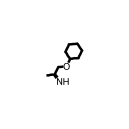 CC(=N)COC1CCCCC1